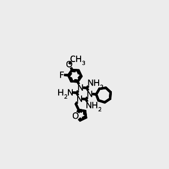 COc1ccc(N2C(N)N(Cc3ccco3)C(N)N(C3CCCCCC3)C2N)cc1F